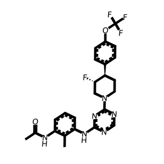 CC(=O)Nc1cccc(Nc2ncnc(N3CC[C@H](c4ccc(OC(F)(F)F)cc4)[C@@H](F)C3)n2)c1C